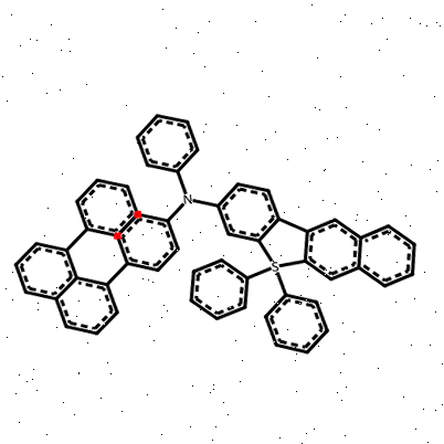 c1ccc(-c2cccc3cccc(-c4ccc(N(c5ccccc5)c5ccc6c(c5)S(c5ccccc5)(c5ccccc5)c5cc7ccccc7cc5-6)cc4)c23)cc1